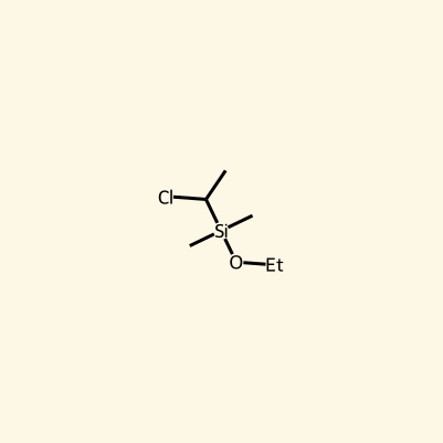 CCO[Si](C)(C)C(C)Cl